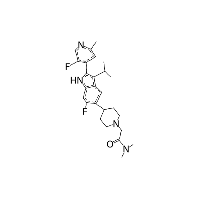 Cc1cc(-c2[nH]c3cc(F)c(C4CCN(CC(=O)N(C)C)CC4)cc3c2C(C)C)c(F)cn1